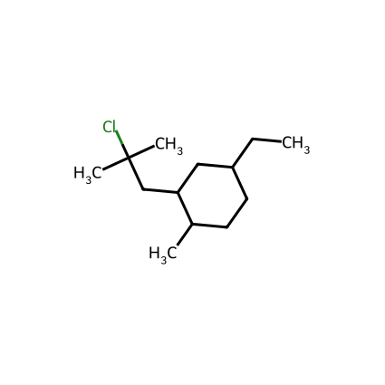 CCC1CCC(C)C(CC(C)(C)Cl)C1